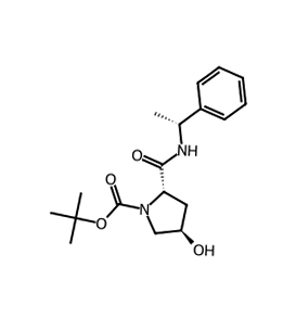 C[C@@H](NC(=O)[C@@H]1C[C@@H](O)CN1C(=O)OC(C)(C)C)c1ccccc1